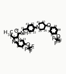 CCc1nc2ccc(OC(F)(F)F)cn2c1C(=O)NCc1ccc(N2CCC(Oc3ccc(OC(F)(F)F)cc3)CC2)cc1